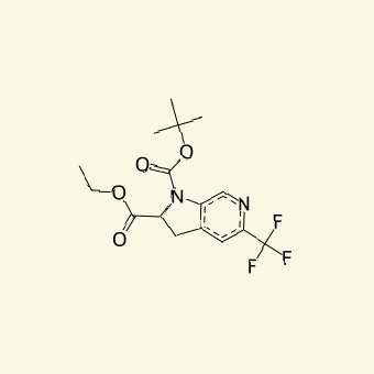 CCOC(=O)C1Cc2cc(C(F)(F)F)ncc2N1C(=O)OC(C)(C)C